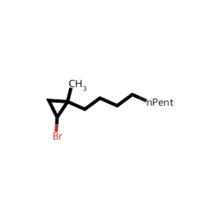 CCCCCCCCCC1(C)CC1Br